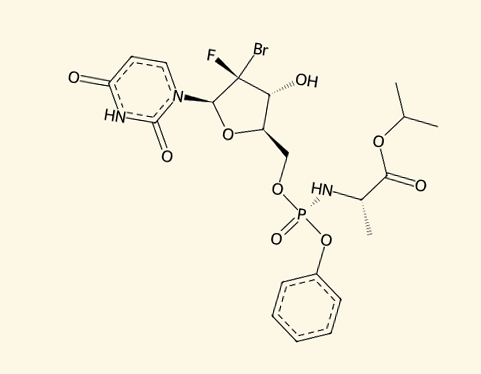 CC(C)OC(=O)[C@H](C)N[P@](=O)(OC[C@H]1O[C@@H](n2ccc(=O)[nH]c2=O)[C@](F)(Br)[C@@H]1O)Oc1ccccc1